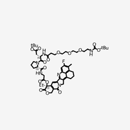 CC[C@@]1(OC(=O)CNC(=O)[C@@H]2CCCN2C(=O)[C@H](CC(=O)OC(C)(C)C)NC(=O)CCOCCOCCOCCNC(=O)OC(C)(C)C)C(=O)OCc2c1cc1n(c2=O)Cc2c-1nc1cc(F)c(C)c3c1c2CCC3